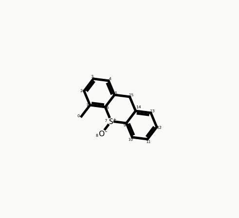 Cc1cccc2c1[S+]([O-])c1ccccc1C2